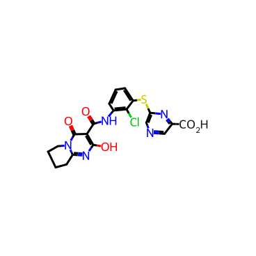 O=C(O)c1cncc(Sc2cccc(NC(=O)c3c(O)nc4n(c3=O)CCCC4)c2Cl)n1